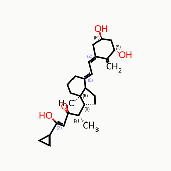 C=C1/C(=C\C=C2/CCC[C@@]3(C)C2CC[C@@H]3[C@H](C)C(=O)/C=C(\O)C2CC2)C[C@@H](O)C[C@@H]1O